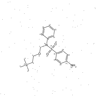 C[Si](C)(C)CCOCN(c1ccccn1)S(=O)(=O)c1ccc(N)cc1